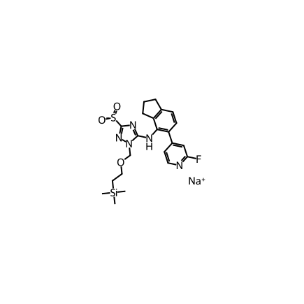 C[Si](C)(C)CCOCn1nc(S(=O)[O-])nc1Nc1c(-c2ccnc(F)c2)ccc2c1CCC2.[Na+]